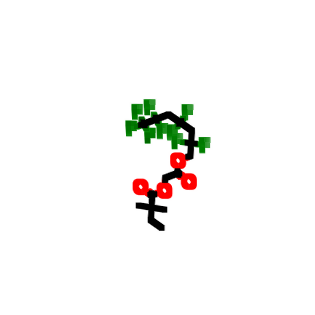 CCC(C)(C)C(=O)OCC(=O)OCC(F)(F)CC(F)(F)CC(F)(F)C(F)(F)F